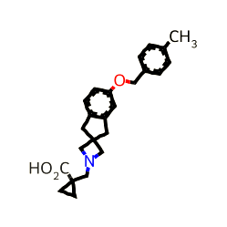 Cc1ccc(COc2ccc3c(c2)CC2(C3)CN(CC3(C(=O)O)CC3)C2)cc1